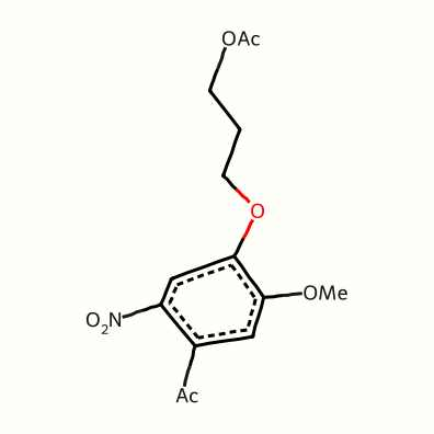 COc1cc(C(C)=O)c([N+](=O)[O-])cc1OCCCOC(C)=O